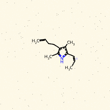 C=CCCc1c(C)[nH]c(/C=C\C)c1C